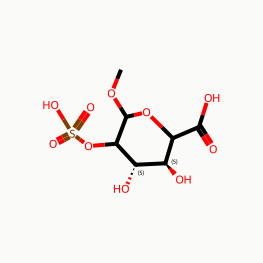 COC1OC(C(=O)O)[C@@H](O)[C@H](O)C1OS(=O)(=O)O